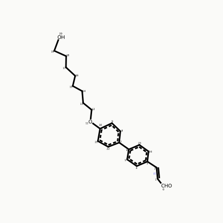 O=C/C=C/c1ccc(-c2ccc(OCCCCCCCCO)cc2)cc1